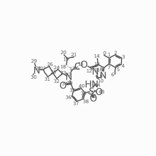 Cc1cccc(C)c1-c1nc2nc(c1C)OC[C@@H](CC(C)C)N(C1CC3(CC(N(C)C)C3)C1)C(=O)c1cccc(c1)S(=O)(=O)N2